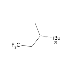 CC[C@@H](C)C(C)CC(F)(F)F